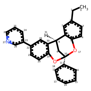 CCc1ccc2c(c1)[C@H]1C[C@@](c3ccccc3)(O2)Oc2ccc(-c3cccnc3)cc21